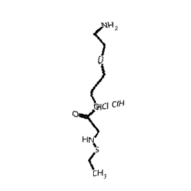 CCSNCC(=O)OCCOCCN.Cl.Cl